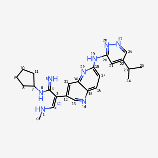 CN/C=C(\C(=N)NC1CCCC1)c1cnc2ccc(Nc3cc(C(C)C)cnn3)nc2c1